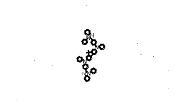 CC1(C)c2cc(N(c3ccccc3)c3ccc(-c4nc5ccccc5n4-c4ccccc4)cc3)ccc2-c2ccc(N(c3ccccc3)c3ccc(-c4nc5ccccc5n4-c4ccccc4)cc3)cc21